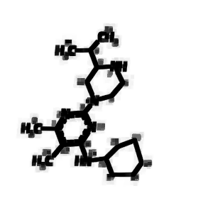 Cc1nc(N2CCNC(C(C)C)C2)nc(NC2CCCCC2)c1C